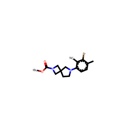 Cc1ccc(N2CCC3(CN(C(=O)OC(C)(C)C)C3)C2)c(C#N)c1Br